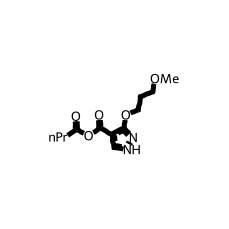 CCCC(=O)OC(=O)c1c[nH]nc1OCCCOC